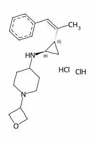 CC(=Cc1ccccc1)[C@@H]1C[C@H]1NC1CCN(C2COC2)CC1.Cl.Cl